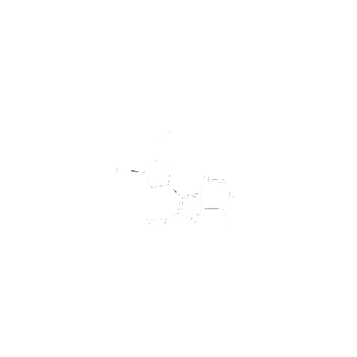 CNc1nc2c(O)ncnc2n1[C@H]1C[C@@H](O)[C@H](CO)O1